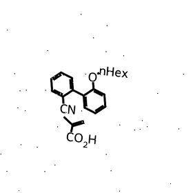 C=C(C)C(=O)O.CCCCCCOc1ccccc1-c1ccccc1C#N